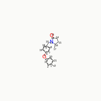 Cc1ccc(Oc2ccc(CN3C(=O)CCC3C)cc2)cc1